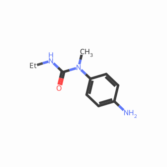 CCNC(=O)N(C)c1ccc(N)cc1